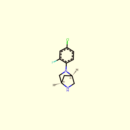 Fc1cc(Cl)ccc1N1C[C@H]2C[C@@H]1CN2